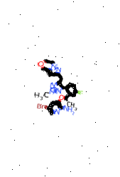 C[C@@H](Oc1cc(Br)cnc1N)c1cc(F)ccc1-c1nn(C)nc1Cc1cc2n(n1)CCOC2